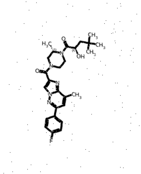 Cc1cc(-c2ccc(F)cc2)nn2cc(C(=O)N3CCN(C(=O)[C@H](O)CC(C)(C)C)[C@@H](C)C3)nc12